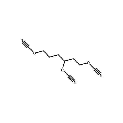 N#COCCCC(CCOC#N)OC#N